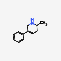 CC1CC=C(c2ccccc2)CN1